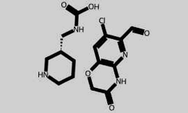 O=C(O)NC[C@@H]1CCCNC1.O=Cc1nc2c(cc1Cl)OCC(=O)N2